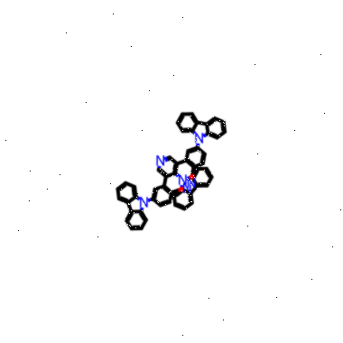 N#Cc1ccc(-n2c3ccccc3c3ccccc32)cc1-c1cncc(-c2cc(-n3c4ccccc4c4ccccc43)ccc2C#N)c1-n1c2ccccc2c2ccccc21